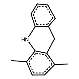 Cc1ccc(C)c2c1Cc1ccccc1N2